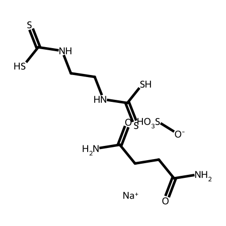 NC(=O)CCC(N)=O.O=S(=O)([O-])O.S=C(S)NCCNC(=S)S.[Na+]